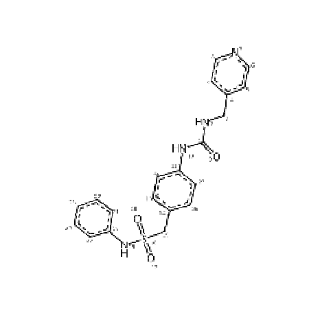 O=C(NCc1ccncc1)Nc1ccc(CS(=O)(=O)Nc2ccccc2)cc1